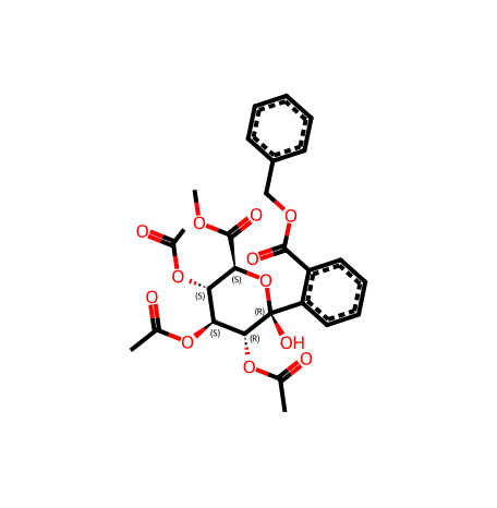 COC(=O)[C@H]1O[C@](O)(c2ccccc2C(=O)OCc2ccccc2)[C@H](OC(C)=O)[C@@H](OC(C)=O)[C@@H]1OC(C)=O